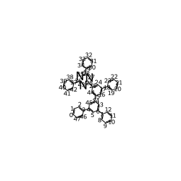 c1ccc(-c2cc(-c3ccccc3)cc(-c3cc(-c4ccccc4)cc(-c4nc(-c5ccccc5)nc(-c5ccccc5)n4)c3)c2)cc1